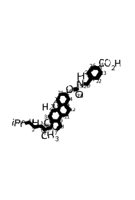 CC(C)CCC[C@@H](C)[C@H]1CCC2C3CC=C4CC(OC(=O)NCc5ccc(C(=O)O)cc5)CC[C@]4(C)C3CC[C@@]21C